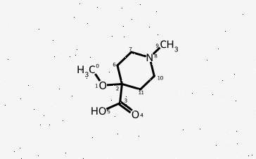 COC1(C(=O)O)CCN(C)CC1